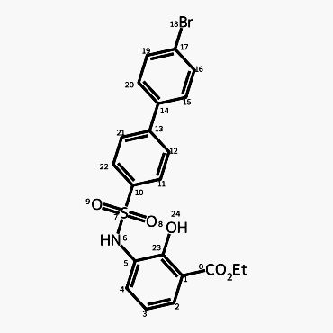 CCOC(=O)c1cccc(NS(=O)(=O)c2ccc(-c3ccc(Br)cc3)cc2)c1O